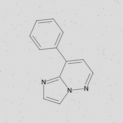 c1ccc(-c2ccnn3ccnc23)cc1